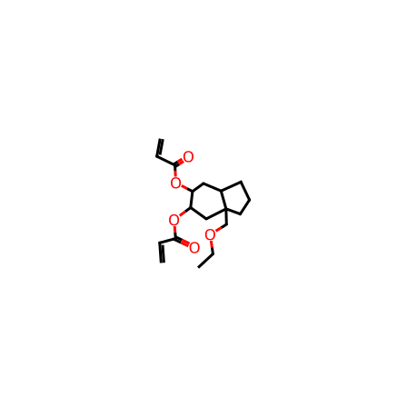 C=CC(=O)OC1CC2CCCC2(COCC)CC1OC(=O)C=C